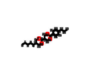 CCCCCC1COC(C2COC(c3ccc(CCC)cc3)OC2)OC1